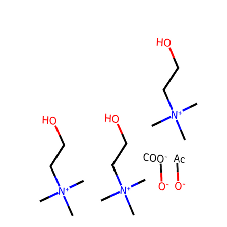 CC(=O)[O-].C[N+](C)(C)CCO.C[N+](C)(C)CCO.C[N+](C)(C)CCO.O=C([O-])[O-]